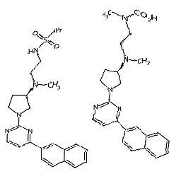 CC(C)S(=O)(=O)NCCN(C)[C@@H]1CCN(c2nccc(-c3ccc4ccccc4c3)n2)C1.CN(CCN(C)[C@@H]1CCN(c2nccc(-c3ccc4ccccc4c3)n2)C1)C(=O)O